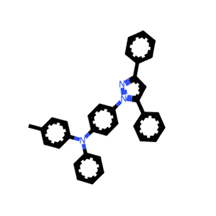 Cc1ccc(N(c2ccccc2)c2ccc(-n3nc(-c4ccccc4)cc3-c3ccccc3)cc2)cc1